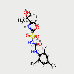 CC(C)c1cc(C#N)cc(C(C)C)c1NC(=O)NS(=O)(=O)c1nc(C(C)(C)O)co1